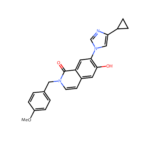 COc1ccc(Cn2ccc3cc(O)c(-n4cnc(C5CC5)c4)cc3c2=O)cc1